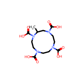 CC1CN(C(=O)O)CCN(C(=O)O)CCN(C(=O)O)CCN1C(=O)O